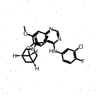 C=CC(=O)N1C[C@H]2C[C@@H](C1)[C@H]2Oc1cc2c(Nc3ccc(F)c(Cl)c3)ncnc2cc1OC